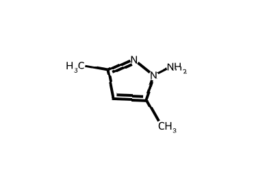 Cc1cc(C)n(N)n1